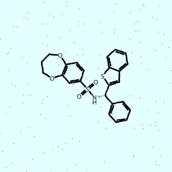 O=S(=O)(N[C@@H](c1ccccc1)c1cc2ccccc2s1)c1ccc2c(c1)OCCCO2